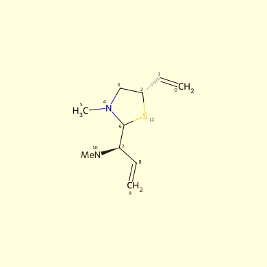 C=C[C@H]1CN(C)C([C@@H](C=C)NC)S1